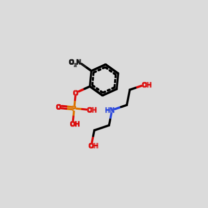 O=[N+]([O-])c1ccccc1OP(=O)(O)O.OCCNCCO